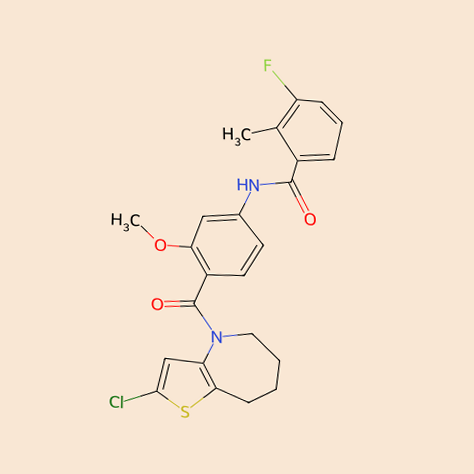 COc1cc(NC(=O)c2cccc(F)c2C)ccc1C(=O)N1CCCCc2sc(Cl)cc21